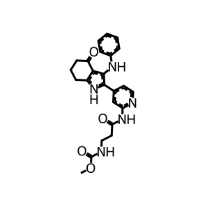 COC(=O)NCCC(=O)Nc1cc(-c2[nH]c3c(c2Nc2ccccc2)C(=O)CCC3)ccn1